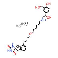 CC(=O)O.C[C@]1(Cc2cccc(CCCCOCCCCCCNC[C@H](O)c3ccc(O)c(CO)c3)c2)NC(=O)NC1=O